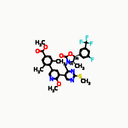 COC(=O)c1cc(C)c(-c2cnc(OC)c(-c3cnc(SC)nc3CN3C(=O)O[C@H](c4cc(F)cc(C(F)(F)F)c4)[C@@H]3C)c2)c(C)c1